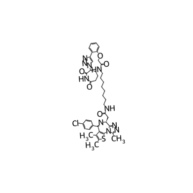 Cc1sc2c(c1C)C(c1ccc(Cl)cc1)=N[C@@H](CC(=O)NCCCCCCCCNC(=O)COc1ccccc1-c1cn(C3CCCC(=O)NC3=O)nn1)c1nnc(C)n1-2